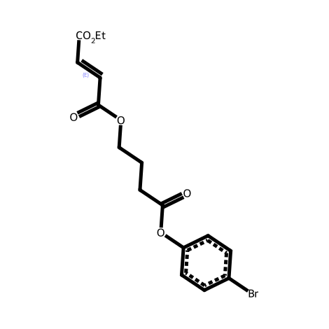 CCOC(=O)/C=C/C(=O)OCCCC(=O)Oc1ccc(Br)cc1